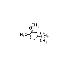 CO[C@H]1CC(C(C)(C)O)CC=C1C